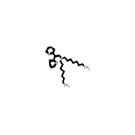 CCCCCCCCP(C=C(c1ccccn1)c1ccccn1)CCCCCCCC